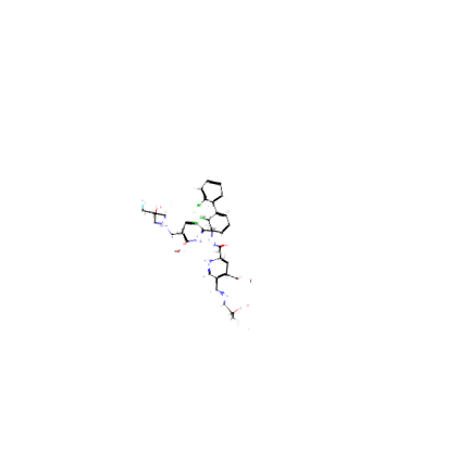 COCc1cc(C(=O)NC2(c3ccc(CN4CC(O)(CF)C4)c(OC)n3)C=CC=C(c3ccccc3Cl)C2Cl)ncc1CNCC(C)O